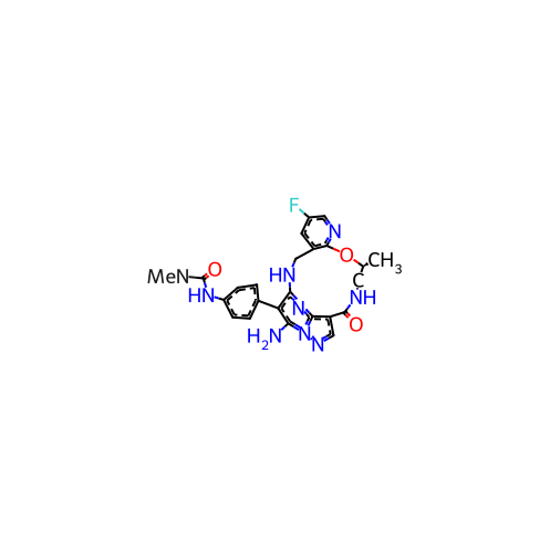 CNC(=O)Nc1ccc(-c2c3nc4c(cnn4c2N)C(=O)NC[C@H](C)Oc2ncc(F)cc2CN3)cc1